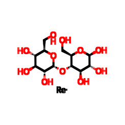 OC[C@H]1O[C@H](O[C@H]2[C@H](O)[C@@H](O)[C@H](O)O[C@@H]2CO)[C@H](O)[C@@H](O)[C@@H]1O.[Re]